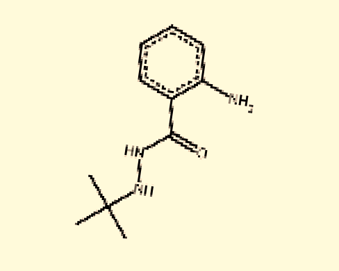 CC(C)(C)NNC(=O)c1ccccc1N